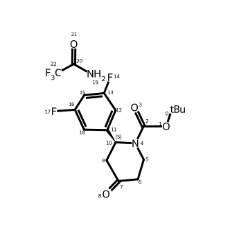 CC(C)(C)OC(=O)N1CCC(=O)C[C@H]1c1cc(F)cc(F)c1.NC(=O)C(F)(F)F